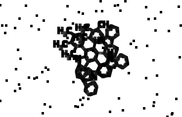 Cc1ccc(-c2c3c(c(-c4c(-c5ccccc5)ccc5c4[nH]c4ccccc45)c(-c4c(-c5ccccc5)ccc5c4[nH]c4ccccc45)c2-c2ccc(C)c(C)c2C)-c2c4c(ccc2=N3)=c2ccccc2=N4)c(C)c1C